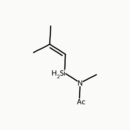 CC(=O)N(C)[SiH2]C=C(C)C